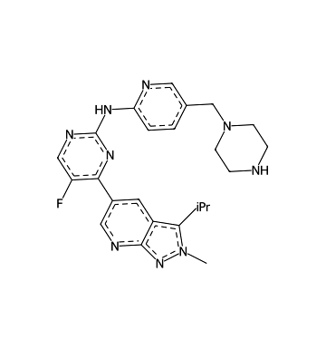 CC(C)c1c2cc(-c3nc(Nc4ccc(CN5CCNCC5)cn4)ncc3F)cnc2nn1C